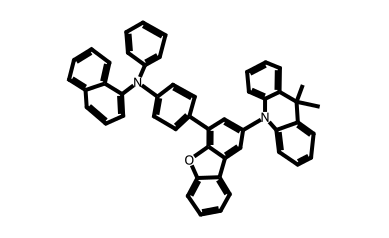 CC1(C)c2ccccc2N(c2cc(-c3ccc(N(c4ccccc4)c4cccc5ccccc45)cc3)c3oc4ccccc4c3c2)c2ccccc21